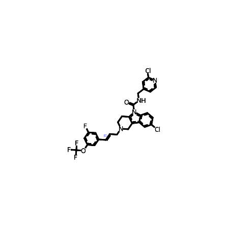 O=C(NCc1ccnc(Cl)c1)n1c2c(c3cc(Cl)ccc31)CN(C/C=C/c1cc(F)cc(OC(F)(F)F)c1)CC2